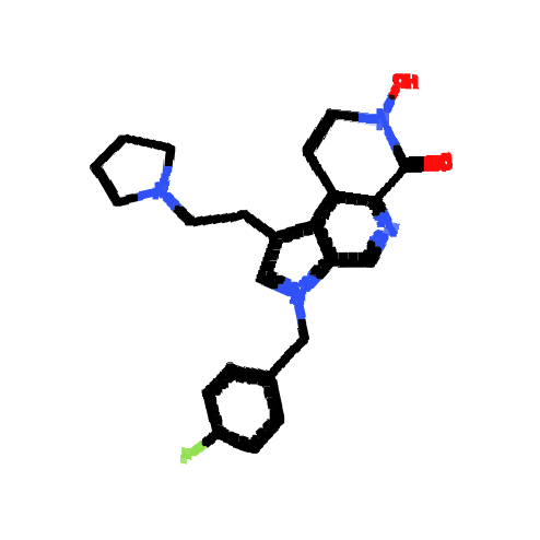 O=C1c2ncc3c(c(CCN4CCCC4)cn3Cc3ccc(F)cc3)c2CCN1O